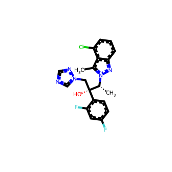 Cc1c2c(Cl)cccc2nn1[C@H](C)[C@](O)(Cn1cncn1)c1ccc(F)cc1F